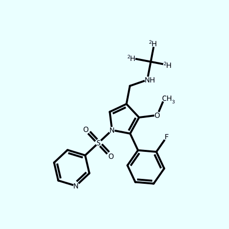 [2H]C([2H])([2H])NCc1cn(S(=O)(=O)c2cccnc2)c(-c2ccccc2F)c1OC